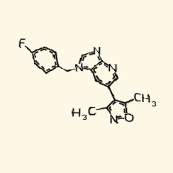 Cc1noc(C)c1-c1cnc2ncn(Cc3ccc(F)cc3)c2c1